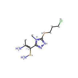 C/C(N)=C(/SN)c1nnc(SCCCCl)n1C